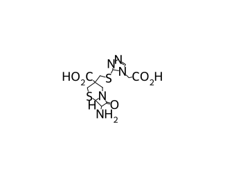 NC1C(=O)N2CC(CSc3nncn3CC(=O)O)(C(=O)O)CS[C@H]12